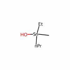 CC[CH2][Sn]([CH3])([OH])[CH2]C